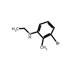 CCNc1cccc(Br)c1C